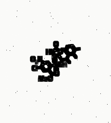 COC(=O)c1cc(Cl)c([N+](=O)[O-])cc1S(=O)(=O)NC(c1n[nH]c(=O)o1)C(C)c1c(F)ccc(C)c1C